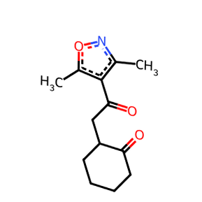 Cc1noc(C)c1C(=O)CC1CCCCC1=O